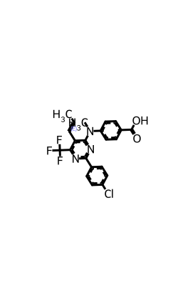 C/C=C/c1c(N(C)c2ccc(C(=O)O)cc2)nc(-c2ccc(Cl)cc2)nc1C(F)(F)F